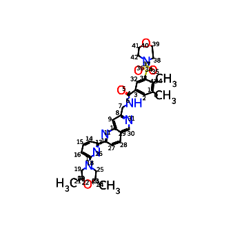 Cc1cc(C(=O)NCc2cc3nc(-c4cccc(N5C[C@@H](C)O[C@@H](C)C5)n4)ccc3cn2)cc(S(=O)(=O)N2CCOCC2)c1C